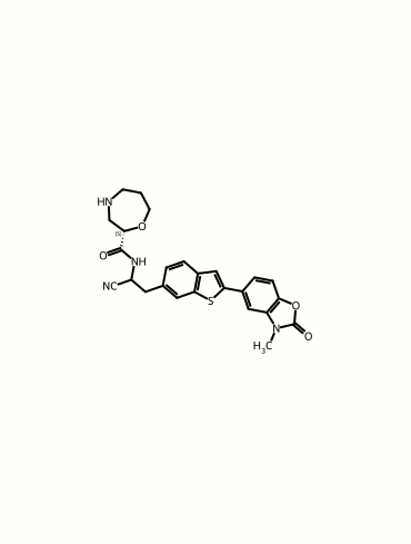 Cn1c(=O)oc2ccc(-c3cc4ccc(CC(C#N)NC(=O)[C@@H]5CNCCCO5)cc4s3)cc21